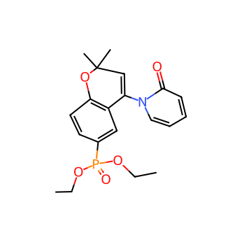 CCOP(=O)(OCC)c1ccc2c(c1)C(n1ccccc1=O)=CC(C)(C)O2